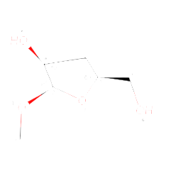 CO[C@@H]1O[C@H](CO)C[C@@H]1O